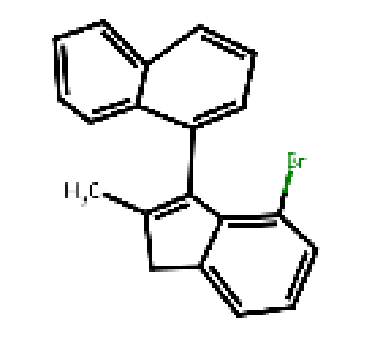 CC1=C(c2cccc3ccccc23)c2c(Br)cccc2C1